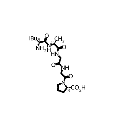 CC[C@H](C)[C@H](N)C(=O)N[C@@H](C)C(=O)NCC(=O)NCC(=O)N1CCC[C@H]1C(=O)O